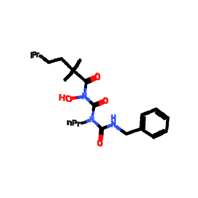 [CH2]C(C)CCC(C)(C)C(=O)N(O)C(=O)N(CCC)C(=O)NCc1ccccc1